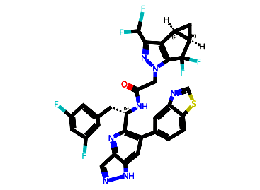 O=C(Cn1nc(C(F)F)c2c1C(F)(F)[C@@H]1C[C@H]21)N[C@@H](Cc1cc(F)cc(F)c1)c1nc2cn[nH]c2cc1-c1ccc2scnc2c1